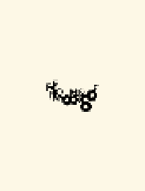 O=C1c2cc(-c3nnc(C(F)F)o3)ccc2CN1[C@H](c1ccccc1)[C@@H](O)c1cccc(F)c1